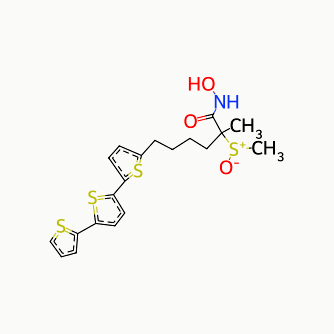 C[S+]([O-])C(C)(CCCCc1ccc(-c2ccc(-c3cccs3)s2)s1)C(=O)NO